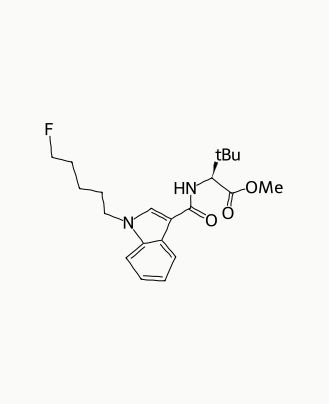 COC(=O)[C@@H](NC(=O)c1cn(CCCCCF)c2ccccc12)C(C)(C)C